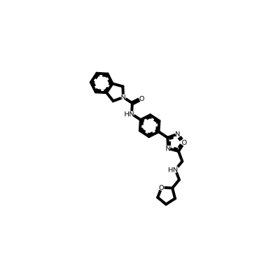 O=C(Nc1ccc(-c2noc(CNCC3CCCO3)n2)cc1)N1Cc2ccccc2C1